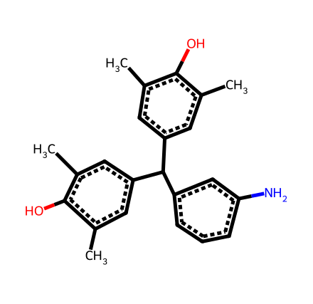 Cc1cc(C(c2cccc(N)c2)c2cc(C)c(O)c(C)c2)cc(C)c1O